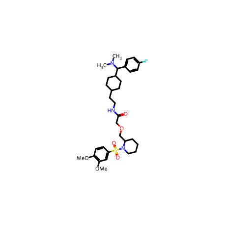 COc1ccc(S(=O)(=O)N2CCCCC2COCC(=O)NCCC2CCC(C(c3ccc(F)cc3)N(C)C)CC2)cc1OC